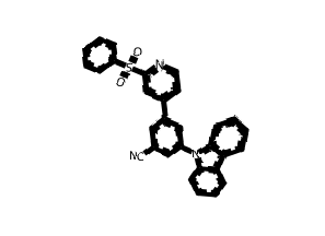 N#Cc1cc(-c2ccnc(S(=O)(=O)c3ccccc3)c2)cc(-n2c3ccccc3c3ccccc32)c1